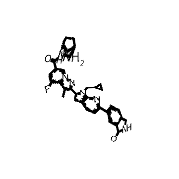 Cc1c(-c2cc3ccc(-c4ccc5c(c4)C(=O)NC5)nc3n2CC2CC2)nn2cc(C(=O)N3CC4CCC3[C@@H]4N)cc(F)c12